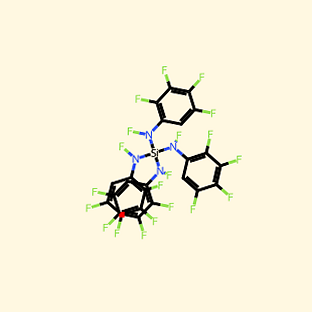 Fc1cc(N(F)[Si](N(F)c2cc(F)c(F)c(F)c2F)(N(F)c2cc(F)c(F)c(F)c2F)N(F)c2cc(F)c(F)c(F)c2F)c(F)c(F)c1F